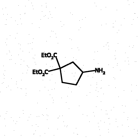 CCOC(=O)C1(C(=O)OCC)CCC(N)C1